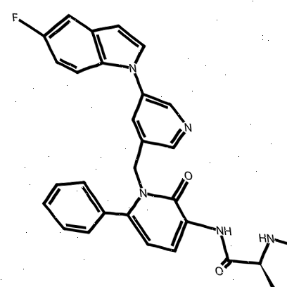 CN[C@@H](C)C(=O)Nc1ccc(-c2ccccc2)n(Cc2cncc(-n3ccc4cc(F)ccc43)c2)c1=O